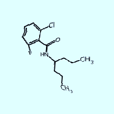 CCCC(CCC)NC(=O)c1c(F)cccc1Cl